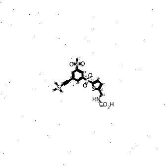 C[Si](C)(C)C#Cc1cc(S(C)(=O)=O)cc(S(=O)(=O)c2ccc(CNC(=O)O)s2)c1